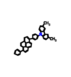 Cc1ccc2c(c1)c1cc(C)ccc1n2-c1ccc(-c2ccc3ccc4c(-c5ccccc5)ccc5ccc2c3c54)cc1